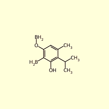 BOc1cc(C)c(C(C)C)c(O)c1B